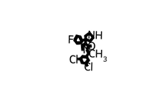 CC(c1cc(Cl)cc(Cl)c1)N1CC=C(C2(c3ccc(F)cc3)CCNCC2)C1=O